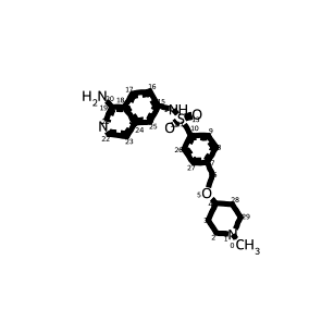 CN1CCC(OCc2ccc(S(=O)(=O)Nc3ccc4c(N)nccc4c3)cc2)CC1